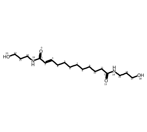 O=C(C=CCCCCCCCCC(=O)NCCCO)NCCCO